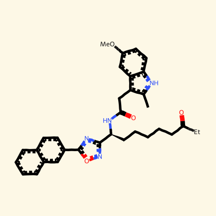 CCC(=O)CCCCC[C@H](NC(=O)Cc1c(C)[nH]c2ccc(OC)cc12)c1noc(-c2ccc3ccccc3c2)n1